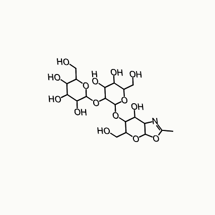 CC1=NC2C(O1)OC(CO)C(OC1OC(CO)C(O)C(O)C1OC1OC(CO)C(O)C(O)C1O)C2O